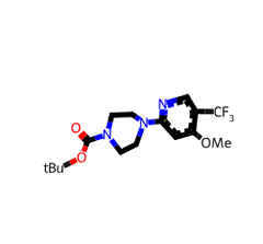 COc1cc(N2CCN(C(=O)OC(C)(C)C)CC2)ncc1C(F)(F)F